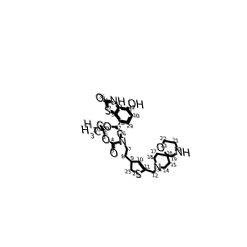 CC1(C)OC(=O)N(CCC2C=C(CN3CCC4(CC3)CNCCO4)SC2)C[C@@H](c2ccc(O)c3[nH]c(=O)sc23)O1